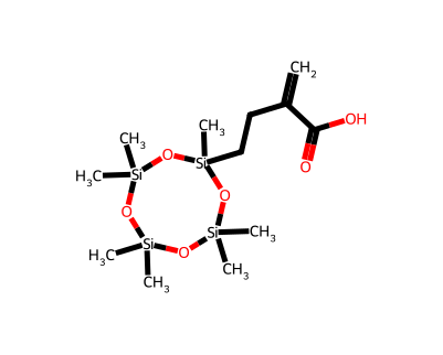 C=C(CC[Si]1(C)O[Si](C)(C)O[Si](C)(C)O[Si](C)(C)O1)C(=O)O